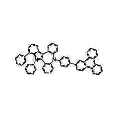 c1ccc(-c2cccc3c4c(n(-c5ccccc5)c23)-c2ccccc2N(c2ccc(-c3ccc5c6ccccc6c6ccccc6c5c3)cc2)c2ccccc2-4)cc1